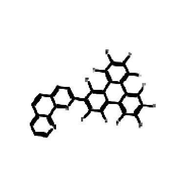 Fc1c(F)c(F)c2c(c1F)c1c(F)c(F)c(F)c(F)c1c1c(F)c(-c3ccc4ccc5cccnc5c4n3)c(F)c(F)c21